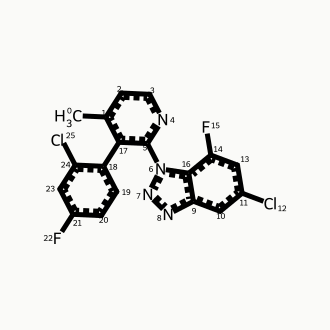 Cc1ccnc(-n2nnc3cc(Cl)cc(F)c32)c1-c1ccc(F)cc1Cl